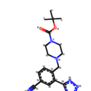 CC(C)(C)OC(=O)N1CCN(Cc2ccc(C#N)cc2-c2nnn[nH]2)CC1